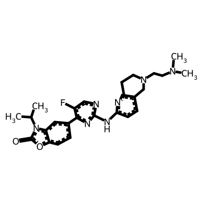 CC(C)n1c(=O)oc2ccc(-c3nc(Nc4ccc5c(n4)CCN(CCN(C)C)C5)ncc3F)cc21